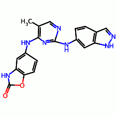 Cc1cnc(Nc2ccc3cn[nH]c3c2)nc1Nc1ccc2oc(=O)[nH]c2c1